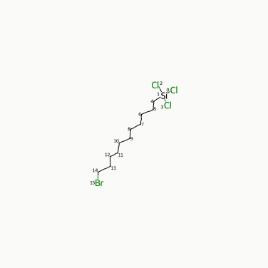 Cl[Si](Cl)(Cl)CCCCCCCCCCCBr